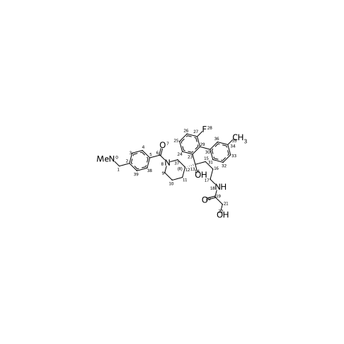 CNCc1ccc(C(=O)N2CCC[C@@H](C(O)(CCCNC(=O)CO)c3cccc(F)c3-c3cccc(C)c3)C2)cc1